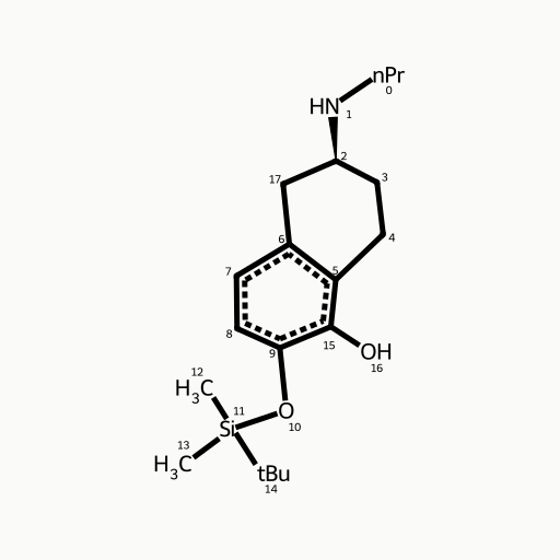 CCCN[C@H]1CCc2c(ccc(O[Si](C)(C)C(C)(C)C)c2O)C1